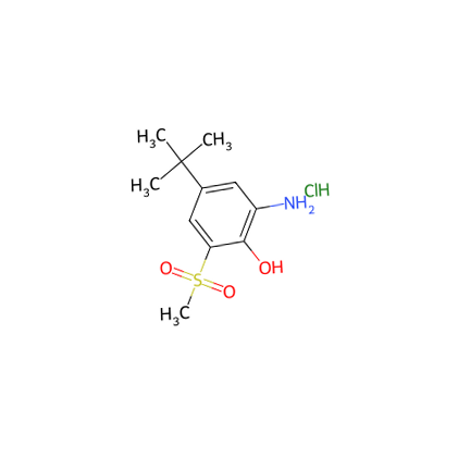 CC(C)(C)c1cc(N)c(O)c(S(C)(=O)=O)c1.Cl